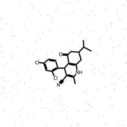 CC1=C(C#N)C(c2ccc(Cl)cc2Cl)C2=C(CC(C(C)C)CC2=O)N1